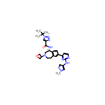 Cn1cc(Nc2nccc(-c3ccc4c(c3)CCN(C3COC3)C[C@@H]4NC(=O)c3cn(C(C)(C)C)nn3)n2)cn1